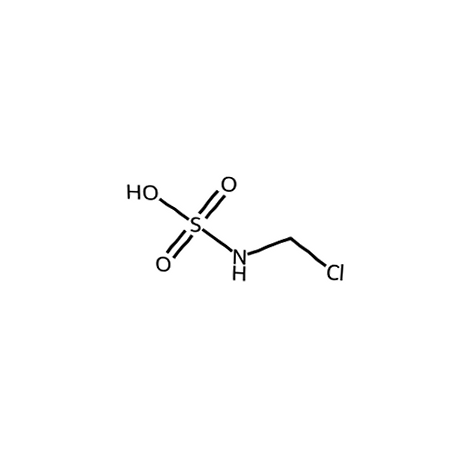 O=S(=O)(O)NCCl